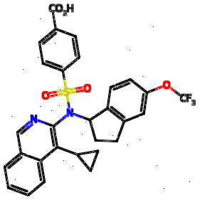 O=C(O)c1ccc(S(=O)(=O)N(c2ncc3ccccc3c2C2CC2)C2CCc3cc(OC(F)(F)F)ccc32)cc1